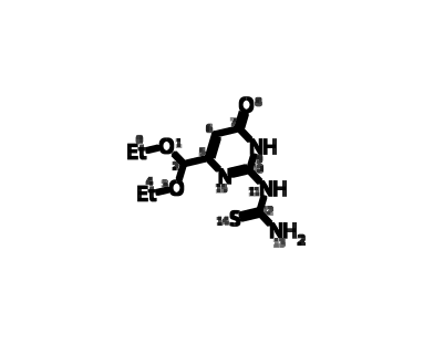 CCOC(OCC)c1cc(=O)[nH]c(NC(N)=S)n1